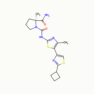 Cc1nc(NC(=O)N2CCC[C@@]2(C)C(N)=O)sc1-c1csc(C2CCC2)n1